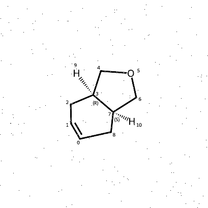 C1=CC[C@H]2COC[C@H]2C1